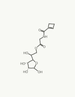 O=C(CNC(=O)C1=CCC1)OCC(O)C1OC(O)[C@H](O)[C@@H]1O